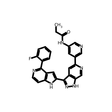 CCC(=O)Nc1cncc(-c2cc3c(-c4cc5c(-c6ccccc6F)nccc5[nH]4)n[nH]c3cn2)c1